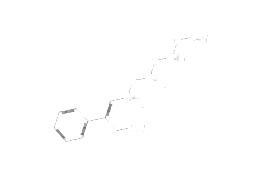 CCC(=C[SiH2]O[SiH2]O[SiH2]O[SiH3])c1ccccc1